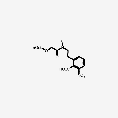 CCCCCCCCOCC(=O)N(C)CCc1cccc([N+](=O)[O-])c1C(=O)O